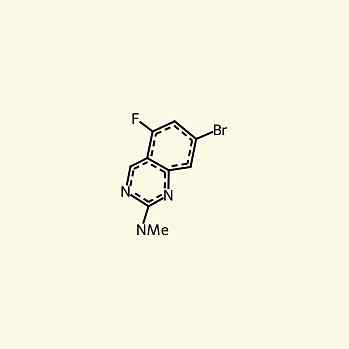 CNc1ncc2c(F)cc(Br)cc2n1